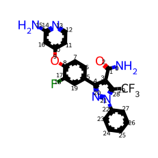 NC(=O)c1c(-c2ccc(Oc3ccnc(N)c3)c(F)c2)nn(-c2ccccc2)c1C(F)(F)F